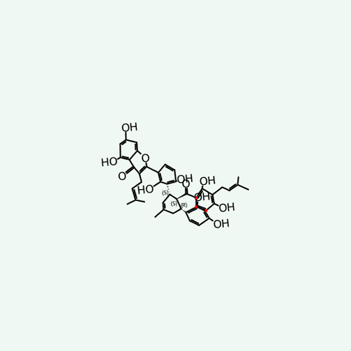 CC(C)=CCc1c(O)ccc(C(=O)[C@@H]2[C@@H](c3c(O)ccc(-c4oc5cc(O)cc(O)c5c(=O)c4CC=C(C)C)c3O)C=C(C)C[C@H]2c2ccc(O)cc2O)c1O